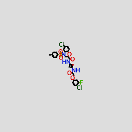 Cc1ccc(S(=O)(=O)N2CC(C(=O)NC34CC(NC(=O)COc5ccc(Cl)c(F)c5)(C3)C4)Oc3ccc(Cl)cc32)cc1